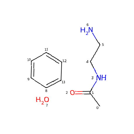 CC(=O)NCCN.O.c1ccccc1